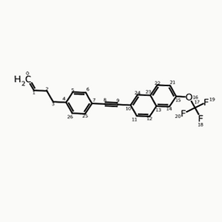 C=CCCc1ccc(C#Cc2ccc3cc(OC(F)(F)F)ccc3c2)cc1